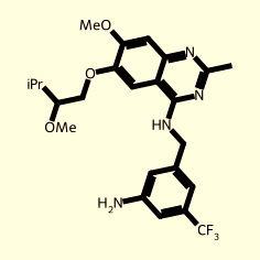 COc1cc2nc(C)nc(NCc3cc(N)cc(C(F)(F)F)c3)c2cc1OCC(OC)C(C)C